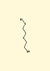 CCSCCSCCS